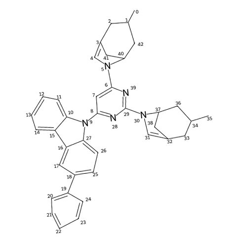 CC1CC2=CN(c3cc(-n4c5ccccc5c5cc(-c6ccccc6)ccc54)nc(N4C=C5CC(C)CC4C5)n3)C(C2)C1